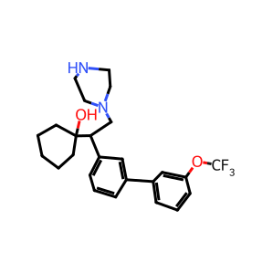 OC1(C(CN2CCNCC2)c2cccc(-c3cccc(OC(F)(F)F)c3)c2)CCCCC1